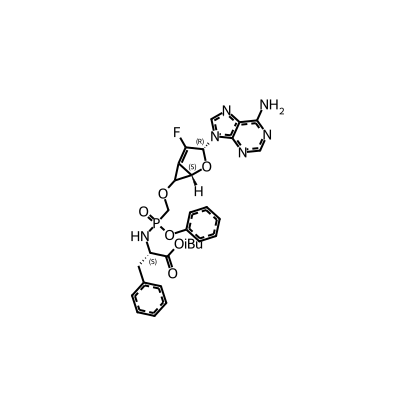 CC(C)COC(=O)[C@H](Cc1ccccc1)NP(=O)(COC1C2=C(F)[C@H](n3cnc4c(N)ncnc43)O[C@@H]21)Oc1ccccc1